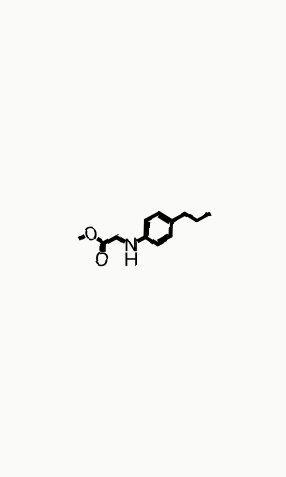 CCCc1ccc(NCC(=O)OC)cc1